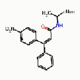 CCCCCCCCCC(C)NC(=O)/C=C(/c1ccccc1)c1ccc([N+](=O)[O-])cc1